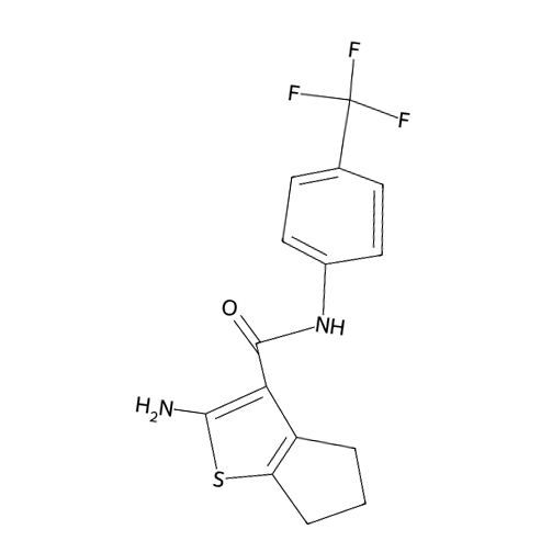 Nc1sc2c(c1C(=O)Nc1ccc(C(F)(F)F)cc1)CCC2